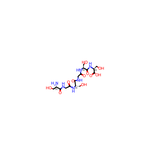 N[C@@H](CO)C(=O)NCC(=O)N[C@@H](CO)C(=O)NCC(=O)N[C@@H](CO)C(=O)N[C@@H](CO)C(=O)O